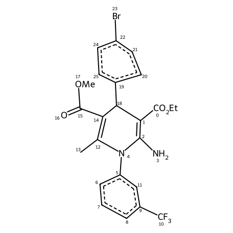 CCOC(=O)C1=C(N)N(c2cccc(C(F)(F)F)c2)C(C)=C(C(=O)OC)C1c1ccc(Br)cc1